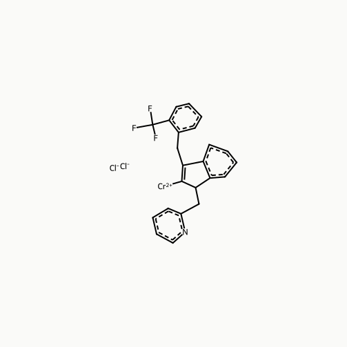 FC(F)(F)c1ccccc1CC1=[C]([Cr+2])C(Cc2ccccn2)c2ccccc21.[Cl-].[Cl-]